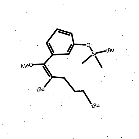 COC(=C(CCCC(C)(C)C)C(C)(C)C)c1cccc(O[Si](C)(C)C(C)(C)C)c1